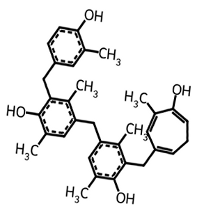 CC1=CC(Cc2c(C)c(Cc3cc(C)c(O)c(Cc4ccc(O)c(C)c4)c3C)cc(C)c2O)=CCC=C1O